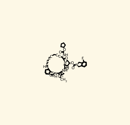 C=C[C@@H]1C[C@@]12NC(=O)[C@@H]1C[C@@H](OC(=O)N3Cc4cccc(F)c4C3)CN1C(=O)[C@@H](NC(=O)OC1CCCC1)CCCCCCCNc1ccccc1S(=O)(=O)NC2=O